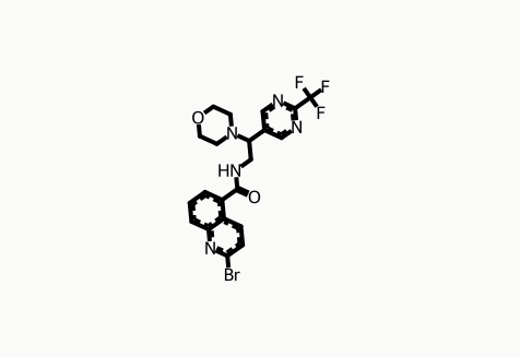 O=C(NCC(c1cnc(C(F)(F)F)nc1)N1CCOCC1)c1cccc2nc(Br)ccc12